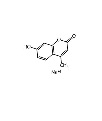 Cc1cc(=O)oc2cc(O)ccc12.[NaH]